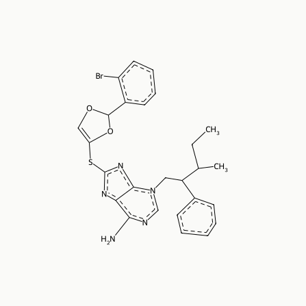 CCC(C)C(Cn1cnc(N)c2nc(SC3=COC(c4ccccc4Br)O3)nc1-2)c1ccccc1